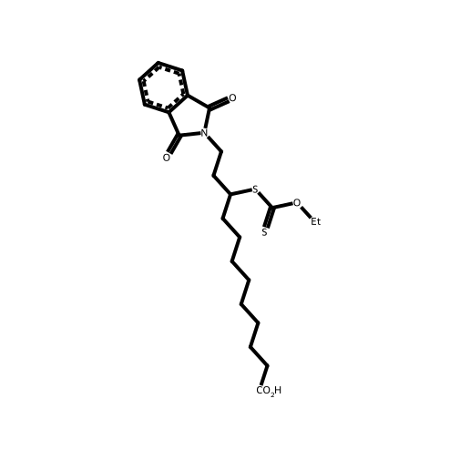 CCOC(=S)SC(CCCCCCCCC(=O)O)CCN1C(=O)c2ccccc2C1=O